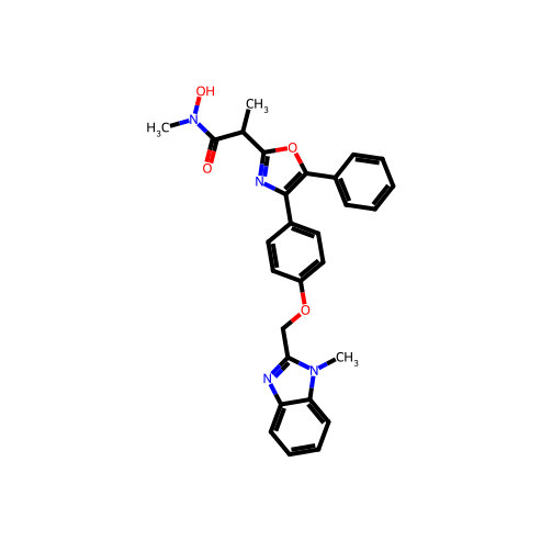 CC(C(=O)N(C)O)c1nc(-c2ccc(OCc3nc4ccccc4n3C)cc2)c(-c2ccccc2)o1